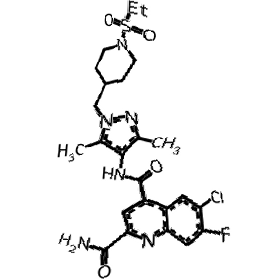 CCS(=O)(=O)N1CCC(Cn2nc(C)c(NC(=O)c3cc(C(N)=O)nc4cc(F)c(Cl)cc34)c2C)CC1